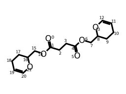 O=C(CCC(=O)OCC1CCC=CO1)OCC1CCC=CO1